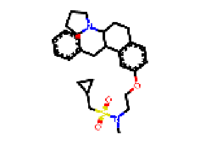 CN(CCOc1ccc2c(c1)C(Cc1ccccc1)C(N1CCCC1)CC2)S(=O)(=O)CC1CC1